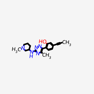 CC#Cc1ccc(-c2nnc(NC3CCCN(C)C3)nc2C)c(O)c1